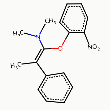 CC(=C(Oc1ccccc1[N+](=O)[O-])N(C)C)c1ccccc1